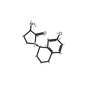 NC1CCN([C@@H]2CCCc3ccc(Cl)cc32)C1=O